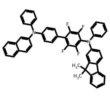 CC1(C)c2ccccc2-c2ccc(N(c3ccccc3)c3c(F)c(F)c(-c4ccc(N(c5ccccc5)c5ccc6ccccc6c5)cc4)c(F)c3F)cc21